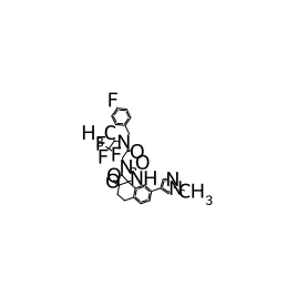 C[C@H](N(Cc1ccc(F)cc1)C(=O)CN1C(=O)NC2(C(=O)CCc3ccc(-c4cnn(C)c4)cc32)C1=O)C(F)(F)F